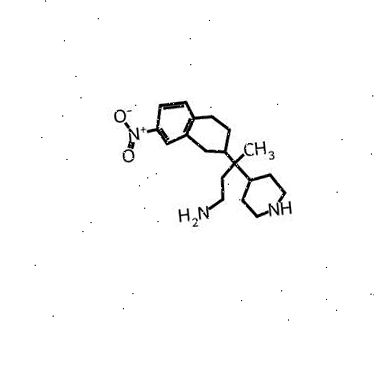 CC(CCN)(C1CCNCC1)C1CCc2ccc([N+](=O)[O-])cc2C1